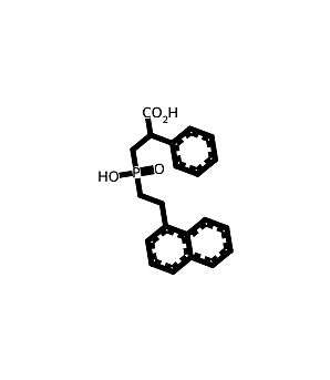 O=C(O)C(CP(=O)(O)CCc1cccc2ccccc12)c1ccccc1